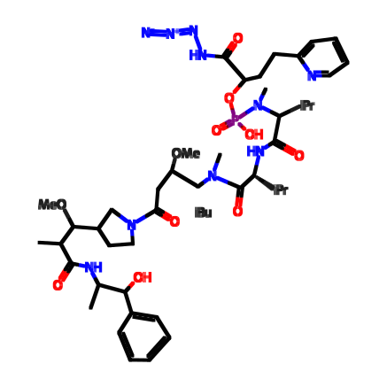 CC[C@H](C)C(C(CC(=O)N1CCC(C(OC)C(C)C(=O)NC(C)C(O)c2ccccc2)C1)OC)N(C)C(=O)[C@@H](NC(=O)C(C(C)C)N(C)P(=O)(O)OC(CCc1ccccn1)C(=O)NN=[N+]=[N-])C(C)C